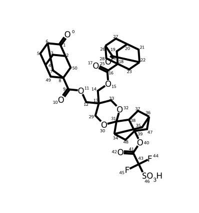 O=C1C2CC3CC1CC(C(=O)OCC1(COC(=O)C45CC6CC(C4)C(=O)C(C6)C5)COC4(OC1)C1CC5CC4C(OC(=O)C(F)(F)S(=O)(=O)O)(C5)C1)(C3)C2